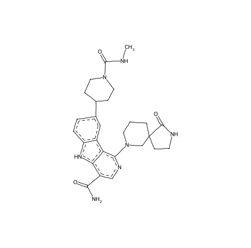 CNC(=O)N1CCC(c2ccc3[nH]c4c(C(N)=O)cnc(N5CCCC6(CCNC6=O)C5)c4c3c2)CC1